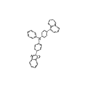 c1ccc(N(c2ccc(-c3nc4ccccc4o3)cc2)c2ccc(-c3cccc4ccccc34)cc2)cc1